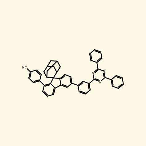 N#Cc1ccc(-c2cccc3c2C2(c4ccc(-c5cccc(-c6nc(-c7ccccc7)nc(-c7ccccc7)n6)c5)cc4-3)C3CC4CC(C3)CC2C4)cc1